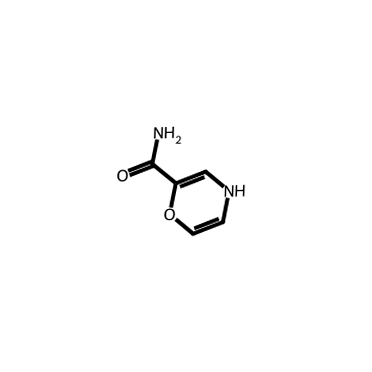 NC(=O)C1=CNC=CO1